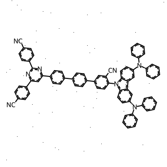 N#Cc1ccc(-c2cc(-c3ccc(-c4ccc(-c5ccc(-n6c7ccc(N(c8ccccc8)c8ccccc8)cc7c7cc(N(c8ccccc8)c8ccccc8)ccc76)c(C#N)c5)cc4)cc3)nc(-c3ccc(C#N)cc3)n2)cc1